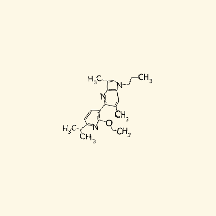 CCCn1cc(C)c2nc(-c3ccc(C(C)C)nc3OCC)c(C)cc21